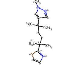 Cn1cc(C(C)(C)CCC(C)(C)c2nccs2)cn1